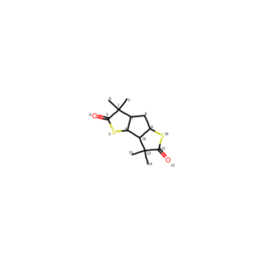 CC1(C)C(=O)SC2C1CC1SC(=O)C(C)(C)C12